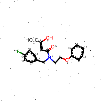 O=C(O)C(O)=CC(=O)N(CCOc1ccccc1)Cc1ccc(F)cc1